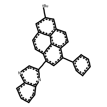 CC(C)(C)c1cc2ccc3c(-c4ccccc4)cc(-c4cnc5ccccc5n4)c4ccc(c1)c2c34